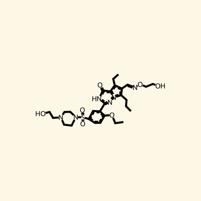 CCCc1c(/C=N/OCCO)c(CC)c2c(=O)[nH]c(-c3cc(S(=O)(=O)N4CCN(CCO)CC4)ccc3OCC)nn12